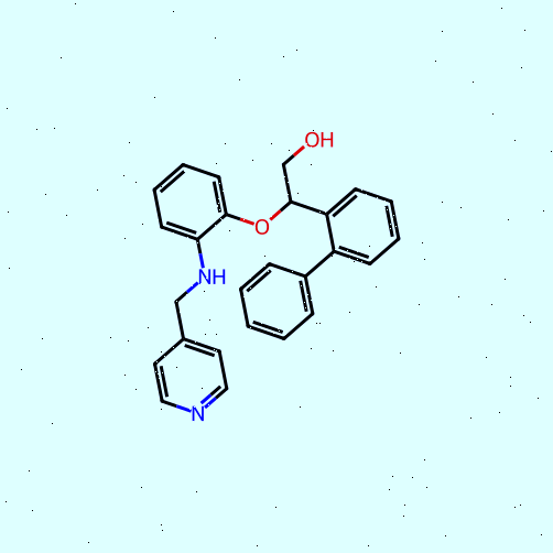 OCC(Oc1ccccc1NCc1ccncc1)c1ccccc1-c1ccccc1